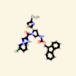 CCOC(=O)c1csc([C@@H]2C[C@@H](NC(=O)OCC3c4ccccc4-c4ccccc43)CN2C(=O)c2cn3cc(Cl)ccc3n2)n1